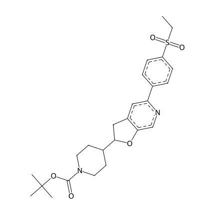 CCS(=O)(=O)c1ccc(-c2cc3c(cn2)OC(C2CCN(C(=O)OC(C)(C)C)CC2)C3)cc1